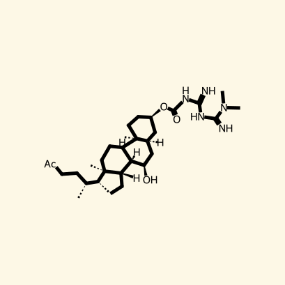 CC(=O)CC[C@@H](C)[C@H]1CC[C@H]2[C@@H]3[C@H](O)C[C@@H]4C[C@H](OC(=O)NC(=N)NC(=N)N(C)C)CC[C@]4(C)[C@H]3CC[C@]12C